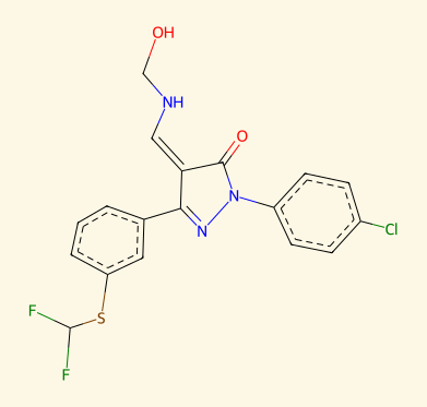 O=C1/C(=C\NCO)C(c2cccc(SC(F)F)c2)=NN1c1ccc(Cl)cc1